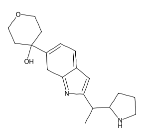 CC(C1=CC2=CC=C(C3(O)CCOCC3)CC2=N1)C1CCCN1